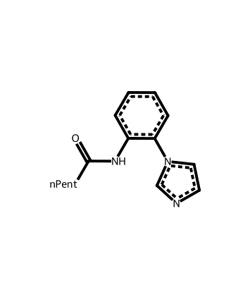 CCCCCC(=O)Nc1ccccc1-n1ccnc1